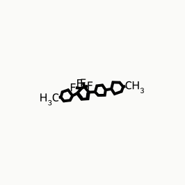 CC1CCC(C2=CC=C(C3CCC(C4CCC(C)CC4)CC3)C(F)(F)C2(F)F)CC1